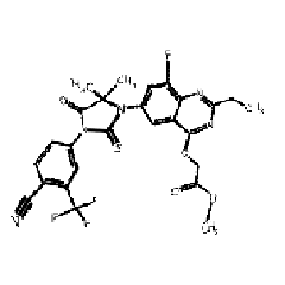 CCc1nc(OCC(=O)OC)c2cc(N3C(=S)N(c4ccc(C#N)c(C(F)(F)F)c4)C(=O)C3(C)C)cc(F)c2n1